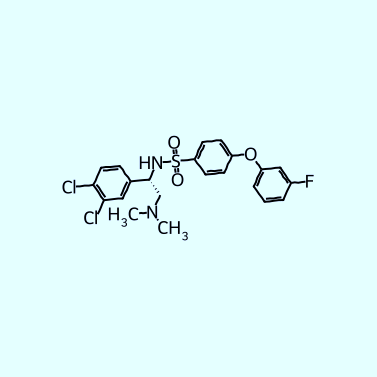 CN(C)C[C@@H](NS(=O)(=O)c1ccc(Oc2cccc(F)c2)cc1)c1ccc(Cl)c(Cl)c1